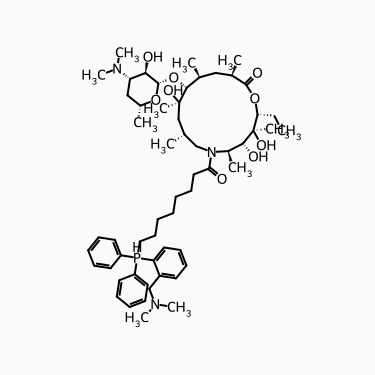 CC[C@H]1OC(=O)[C@H](C)C[C@H](C)[C@@H](O[C@@H]2O[C@H](C)C[C@H](N(C)C)[C@H]2O)[C@](C)(O)C[C@@H](C)CN(C(=O)CCCCCCC[PH](c2ccccc2)(c2ccccc2)c2ccccc2CN(C)C)[C@H](C)[C@@H](O)[C@]1(C)O